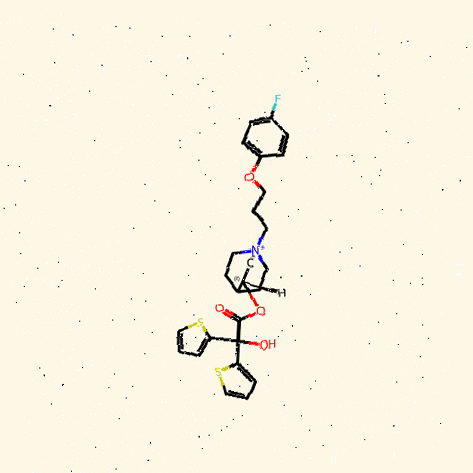 O=C(O[C@H]1C[N+]2(CCCOc3ccc(F)cc3)CCC1CC2)C(O)(c1cccs1)c1cccs1